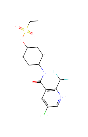 CCS(=O)(=O)OC1CCC(NC(=O)c2cc(Cl)cnc2C(F)F)CC1